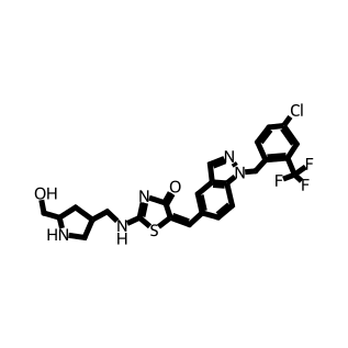 O=C1N=C(NCC2CNC(CO)C2)SC1=Cc1ccc2c(cnn2Cc2ccc(Cl)cc2C(F)(F)F)c1